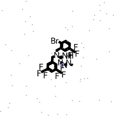 CN/N=N\C(=N)N(Cc1cc(C(F)(F)F)cc(C(F)(F)F)c1)Cc1cc(C(F)(F)F)ccc1Br